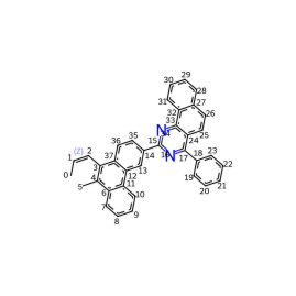 C/C=C\c1c(C)c2ccccc2c2cc(-c3nc(-c4ccccc4)c4ccc5ccccc5c4n3)ccc12